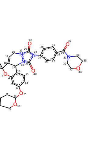 CC1(C)Oc2cc(OC3CCCCO3)ccc2C2C1=CCn1c(=O)n(-c3ccc(C(=O)N4CCOCC4)cc3)c(=O)n12